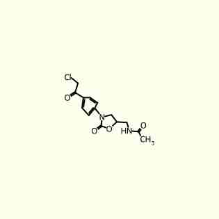 CC(=O)NCC1CN(c2ccc(C(=O)CCl)cc2)C(=O)O1